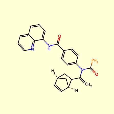 C=C(C1C[C@@H]2C=C[C@H]1C2)N(C(=O)P)c1ccc(C(=O)Nc2cccc3cccnc23)cc1